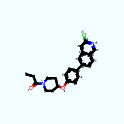 CCC(=O)N1CCC(Oc2ccc(-c3ccc4cnc(Cl)cc4c3)cc2)CC1